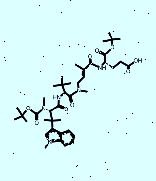 C/C(=C\CN(C)C(=O)C(NC(=O)[C@@H](N(C)C(=O)OC(C)(C)C)C(C)(C)c1cn(C)c2ccccc12)C(C)(C)C)C(=O)N[C@H](CCC(=O)O)C(=O)OC(C)(C)C